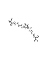 C=C(C)C(=O)OCCOCCn1cc[n+](CCOCCOC(=O)C(=C)C)c1